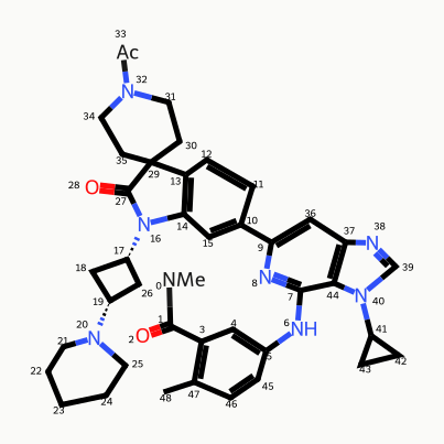 CNC(=O)c1cc(Nc2nc(-c3ccc4c(c3)N([C@H]3C[C@@H](N5CCCCC5)C3)C(=O)C43CCN(C(C)=O)CC3)cc3ncn(C4CC4)c23)ccc1C